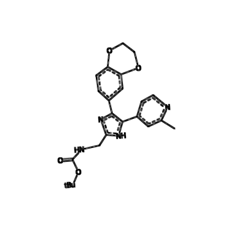 Cc1cc(-c2[nH]c(CNC(=O)OC(C)(C)C)nc2-c2ccc3c(c2)OCCO3)ccn1